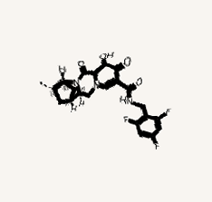 C[C@H]1C[C@@H]2C[C@H]1N1C(=O)c3c(O)c(=O)c(C(=O)NCc4c(F)cc(F)cc4F)cn3C[C@@H]21